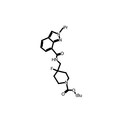 CC(C)n1cc2cccc(C(=O)NCC3(F)CCN(C(=O)OC(C)(C)C)CC3)c2n1